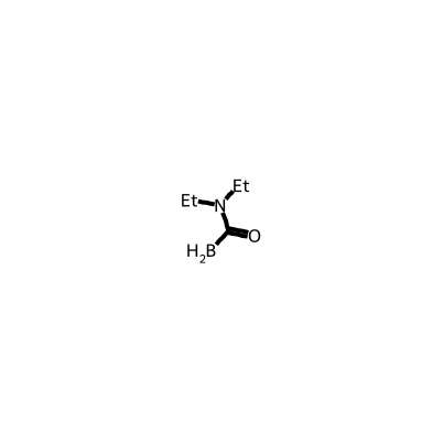 BC(=O)N(CC)CC